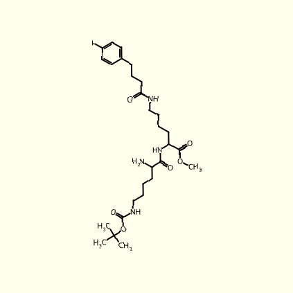 COC(=O)C(CCCCNC(=O)CCCc1ccc(I)cc1)NC(=O)C(N)CCCCNC(=O)OC(C)(C)C